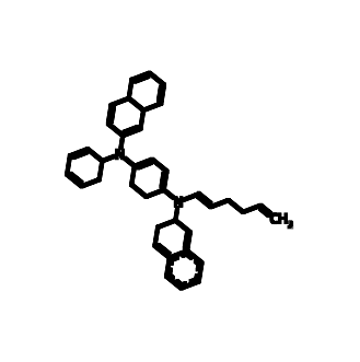 C=CCC/C=C/N(C1=CC=C(N(C2=CC3C=CC=CC3C=C2)C2C=CC=CC2)CC1)C1C=c2ccccc2=CC1